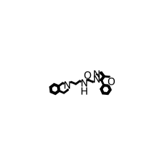 O=C(Cn1ncc2c1-c1ccccc1OC2)NCCCN1CCc2ccccc2C1